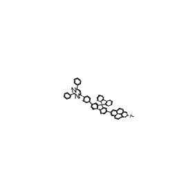 CC(C)(C)c1cc2ccc3cc(-c4ccc5c(c4)C4(c6ccccc6-c6ccccc64)c4cc(-c6ccc(-c7cc(-c8ccccc8)nc(-c8ccccc8)n7)cc6)ccc4-5)cc4ccc(c1)c2c34